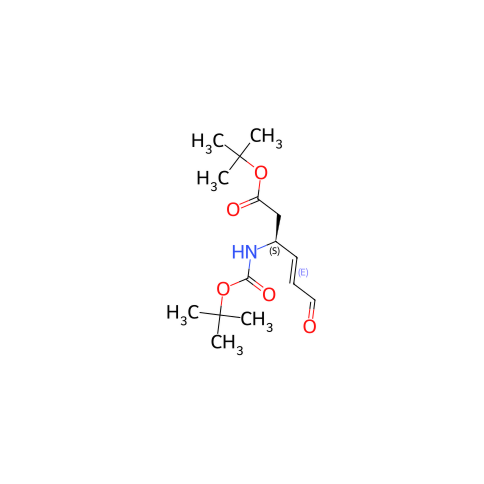 CC(C)(C)OC(=O)C[C@@H](/C=C/C=O)NC(=O)OC(C)(C)C